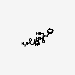 NC(=O)Cn1nnc(NC(=O)[C@@H](CS)Cc2ccccc2)n1